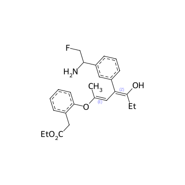 CCOC(=O)Cc1ccccc1O/C(C)=C/C(=C(/O)CC)c1cccc(C(N)CF)c1